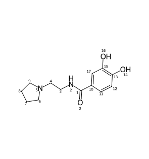 O=C(NCCN1CCCC1)c1ccc(O)c(O)c1